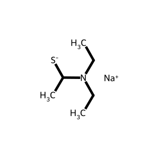 CCN(CC)C(C)[S-].[Na+]